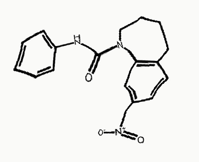 O=C(Nc1ccccc1)N1CCCCc2ccc([N+](=O)[O-])cc21